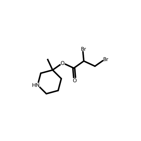 CC1(OC(=O)C(Br)CBr)CCCNC1